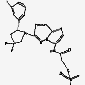 CS(=O)(=O)OCC(=O)Nc1cnc2ccc(N3CC(F)(F)C[C@@H]3c3cccc(F)c3)nn12